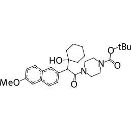 COc1ccc2cc(C(C(=O)N3CCN(C(=O)OC(C)(C)C)CC3)C3(O)CCCCC3)ccc2c1